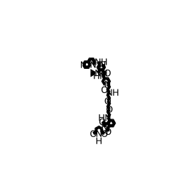 O=C(CN1CCC(NC(=O)c2cnc(Nc3ccc4cnccc4n3)cc2NC2CC2)CC1)NCCOCCOCCNc1cccc2c1C(=O)N(C1CCC(=O)NC1=O)C2=O